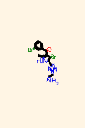 Cc1[nH]c(-c2nnn(CCN)n2)c(Br)c1C(=O)c1cccc(Br)c1